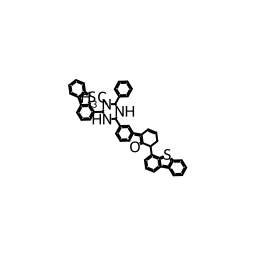 CN1C(c2ccccc2)NC(c2ccc3oc4c(c3c2)C=CCC4c2cccc3c2sc2ccccc23)NC1c1cccc2c1sc1ccccc12